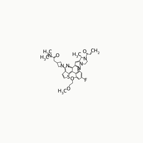 C=CC(=O)N1CCn2nc(-c3nc(N4CC(CC(=O)N(C)C)C4)c4ccsc4c3-c3c(F)cc(F)cc3OCCOC)cc2C1C